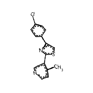 Cc1ccncc1-c1nc(-c2ccc(Cl)cc2)cs1